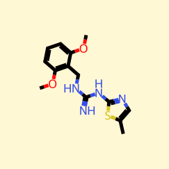 COc1cccc(OC)c1CNC(=N)Nc1ncc(C)s1